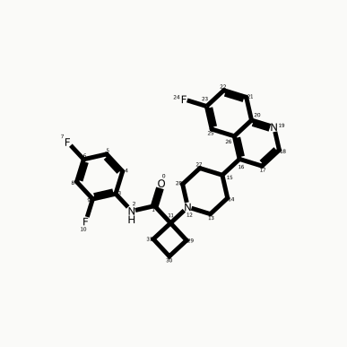 O=C(Nc1ccc(F)cc1F)C1(N2CCC(c3ccnc4ccc(F)cc34)CC2)CCC1